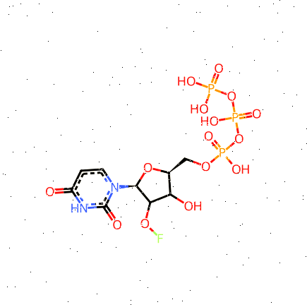 O=c1ccn([C@H]2O[C@@H](COP(=O)(O)OP(=O)(O)OP(=O)(O)O)C(O)C2OF)c(=O)[nH]1